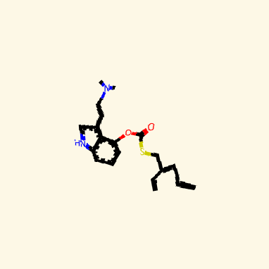 C=C/C=C(\C=C)CSC(=O)Oc1cccc2[nH]cc(CCN(C)C)c12